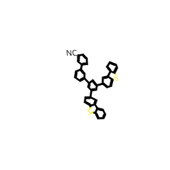 N#Cc1cccc(-c2cccc(-c3cc(-c4ccc5sc6ccccc6c5c4)cc(-c4ccc5sc6ccccc6c5c4)c3)c2)c1